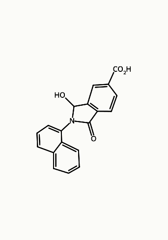 O=C(O)c1ccc2c(c1)C(O)N(c1cccc3ccccc13)C2=O